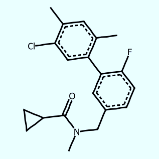 Cc1cc(C)c(-c2cc(CN(C)C(=O)C3CC3)ccc2F)cc1Cl